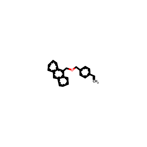 C=Cc1ccc(COCc2c3ccccc3cc3ccccc23)cc1